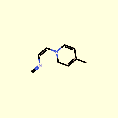 C=N/C=C\N1C=CC(C)=CC1